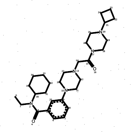 CCN(C(=O)c1cccc(N2CCN(CC(=O)N3CCN(C4CCC4)CC3)CC2)c1)C1CCCCC1